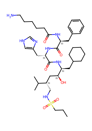 CCCS(=O)(=O)NC[C@@H](C[C@H](O)[C@H](CC1CCCCC1)NC(=O)[C@H](Cc1c[nH]cn1)NC(=O)[C@H](Cc1ccccc1)NC(=O)CCCCCN)C(C)C